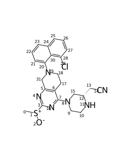 C[S+]([O-])c1nc2c(c(N3CCN[C@@H](CC#N)C3)n1)CCN(c1cccc3cccc(Cl)c13)C2